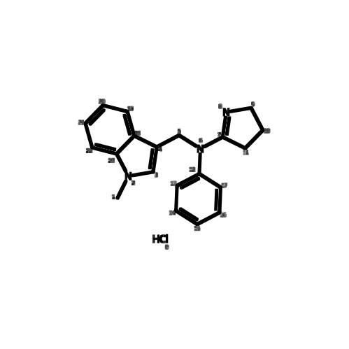 Cl.Cn1cc(CN(C2=NCCC2)c2ccccc2)c2ccccc21